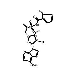 COc1ncnc2c1ncn2[C@@H]1O[C@H](CN(C)S(=O)(=O)NC(=O)c2ccccc2O)[C@@H](O)[C@H]1O